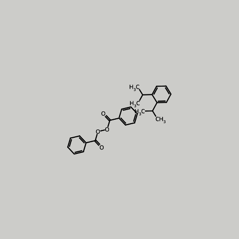 CC(C)c1ccccc1C(C)C.O=C(OOC(=O)c1ccccc1)c1ccccc1